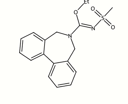 CCOC(=NS(C)(=O)=O)N1Cc2ccccc2-c2ccccc2C1